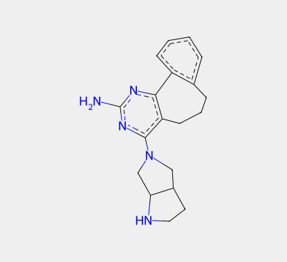 Nc1nc2c(c(N3CC4CCNC4C3)n1)CCCc1ccccc1-2